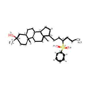 CC12CCC3C(CCC4CC(O)(C(F)(F)F)CCC43C)C1CCC2CCC(CCC(F)(F)F)S(=O)(=O)c1ccccc1